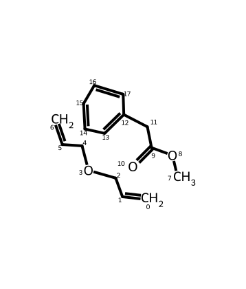 C=CCOCC=C.COC(=O)Cc1ccccc1